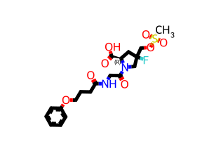 CS(=O)(=O)OCC1(F)C[C@H](C(=O)O)N(C(=O)CNC(=O)CCCOc2ccccc2)C1